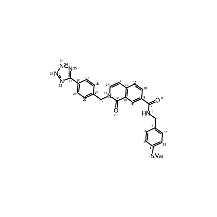 CSc1ccc(CNC(=O)c2ccc3ccn(Cc4ccc(-c5nn[nH]n5)cc4)c(=O)c3c2)cc1